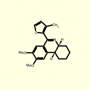 COc1cc2c(cc1OC)[C@H]1CCCC[C@H]1N=C2c1occc1C